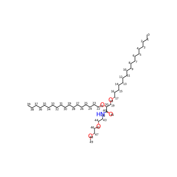 CCCCCCCCCCCCCCCCCCOCC(OCCCCCCCCCCCCCCCCCC)C(=O)NCCOCCOC